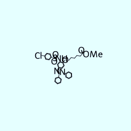 COC(=O)CCCCCOc1cc2c(cc1NS(=O)(=O)c1ccc(Cl)cc1)nc(-c1ccccc1)n2-c1ccccc1